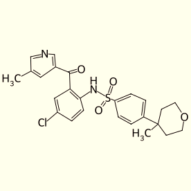 Cc1cncc(C(=O)c2cc(Cl)ccc2NS(=O)(=O)c2ccc(C3(C)CCOCC3)cc2)c1